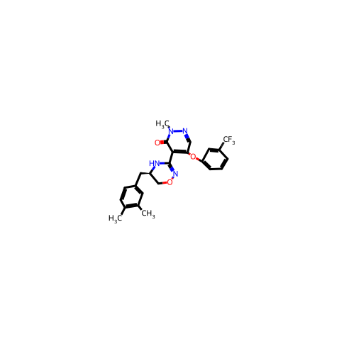 Cc1ccc(C[C@@H]2CON=C(c3c(Oc4cccc(C(F)(F)F)c4)cnn(C)c3=O)N2)cc1C